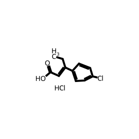 CCC(=CC(=O)O)c1ccc(Cl)cc1.Cl